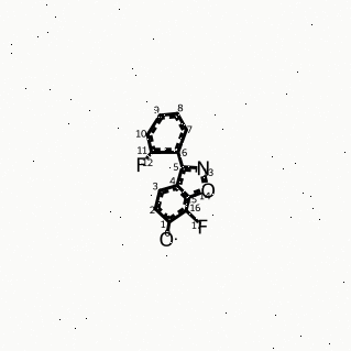 [O]c1ccc2c(-c3ccccc3F)noc2c1F